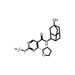 CSc1ncc(C(=O)NC2C3CC4CC2CC(O)(C4)C3)c([C@@H]2CCCO2)n1